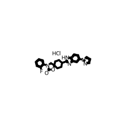 Cl.O=C1OC2(CCC(c3nc4cc(-n5cccn5)ccc4[nH]3)CC2)CN1c1ccccc1F